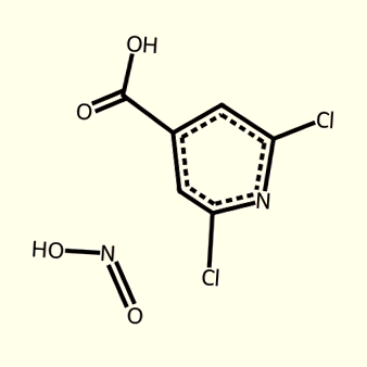 O=C(O)c1cc(Cl)nc(Cl)c1.O=NO